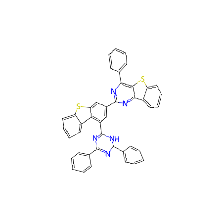 c1ccc(C2=NC(c3ccccc3)NC(c3cc(-c4nc(-c5ccccc5)c5sc6ccccc6c5n4)cc4sc5ccccc5c34)=N2)cc1